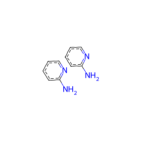 Nc1ccccn1.Nc1ccccn1